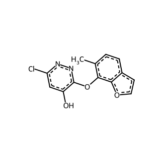 Cc1ccc2ccoc2c1Oc1nnc(Cl)cc1O